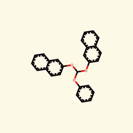 c1ccc(OC(Oc2ccc3ccccc3c2)Oc2ccc3ccccc3c2)cc1